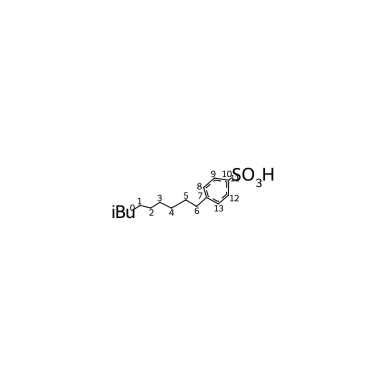 CCC(C)CCCCCCc1ccc(S(=O)(=O)O)cc1